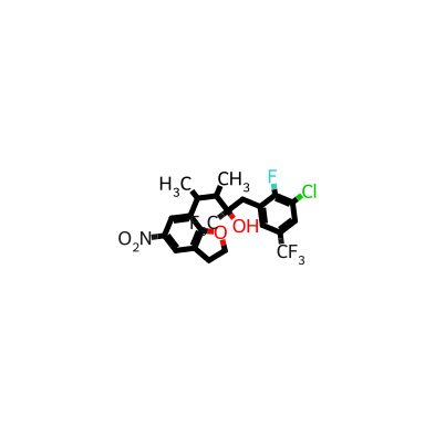 CC(c1cc([N+](=O)[O-])cc2c1OCC2)C(C)C(O)(Cc1cc(C(F)(F)F)cc(Cl)c1F)C(F)(F)F